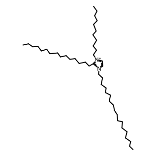 CCCCCCCCCCCCCCCCCCn1cc[n+](CCCCCCCCCCC)c1CCCCCCCCCCCCCCC